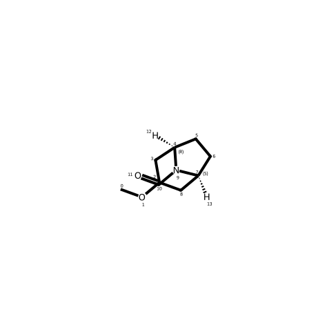 COC1C[C@H]2CC[C@@H](C1)N2C=O